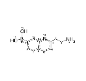 NCCc1ccc2ccc(B(O)O)cc2n1